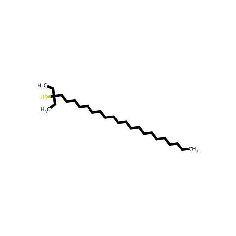 CCCCCCCCCCCCCCCCCCCCCC(S)(CC)CC